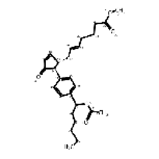 CCCCCC(OC(C)=O)c1ccc([C@H]2C(=O)C=C[C@@H]2CC=CCCCC(=O)OC)cc1